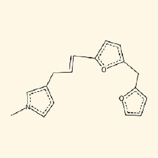 Cn1ccc(C/C=C/c2ccc(Cc3ccco3)o2)c1